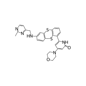 Cc1nccc(CNc2ccc3c(c2)Sc2cccc(-c4cc(N5CCOCC5)cc(=O)[nH]4)c2S3)n1